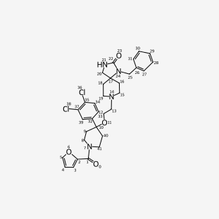 O=C(c1ccco1)N1CCC(OCCN2CCC3(CC2)CNC(=O)N3Cc2ccccc2)(c2ccc(Cl)c(Cl)c2)CC1